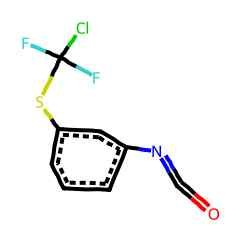 O=C=Nc1cccc(SC(F)(F)Cl)c1